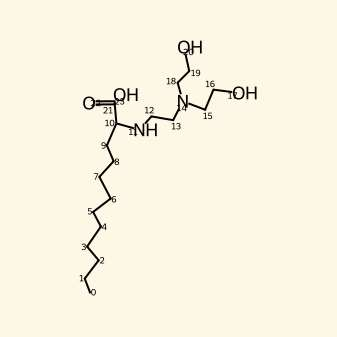 CCCCCCCCCCC(NCCN(CCO)CCO)C(=O)O